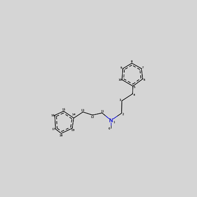 CN(CCCc1ccccc1)CCCc1ccccc1